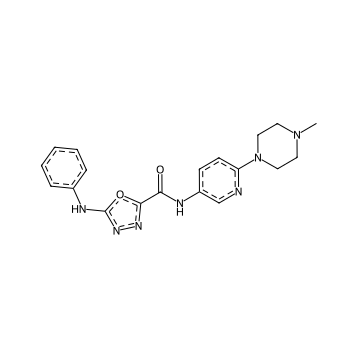 CN1CCN(c2ccc(NC(=O)c3nnc(Nc4ccccc4)o3)cn2)CC1